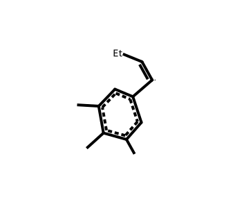 CC/C=[C]\c1cc(C)c(C)c(C)c1